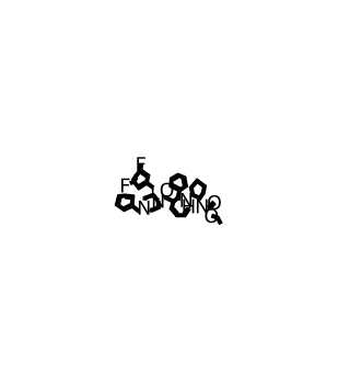 CCOC(=O)N[C@H]1CCCC[C@@H]1N1C=CC=CC(C(=O)N2CCN(Cc3ccccc3)C[C@H]2Cc2cc(F)cc(F)c2)C1c1ccccc1